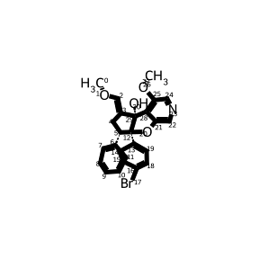 CO/C=C1\C[C@@H](c2ccccc2)[C@]2(c3ccc(Br)cc3)Oc3cncc(OC)c3[C@]12O